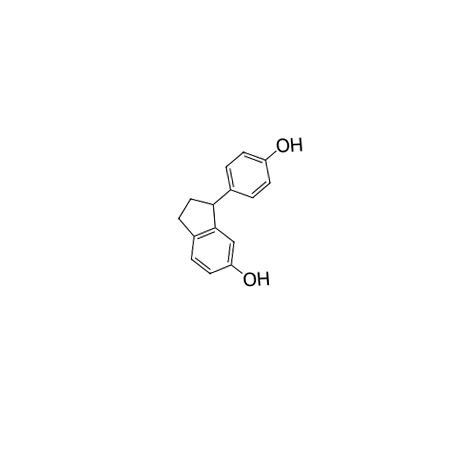 Oc1ccc(C2CCc3ccc(O)cc32)cc1